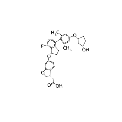 Cc1cc(OC2CCC(O)C2)cc(C)c1-c1ccc(F)c2c1CC[C@H]2Oc1ccc2c(c1)OC[C@H]2CC(=O)O